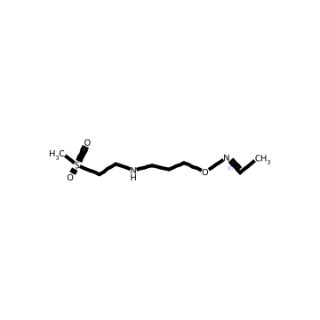 C/C=N/OCCCNCCS(C)(=O)=O